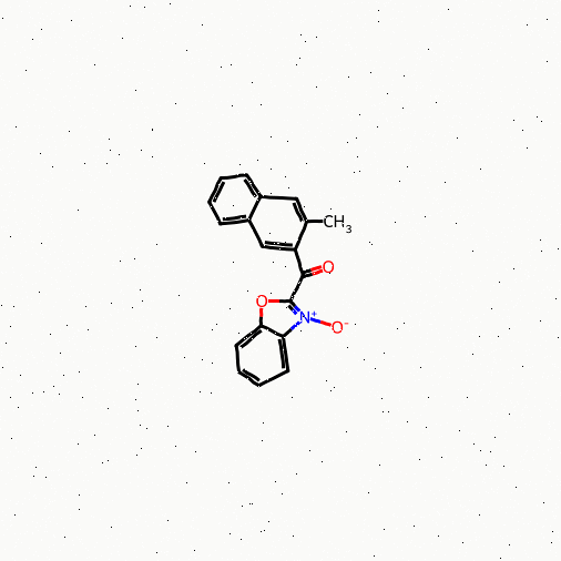 Cc1cc2ccccc2cc1C(=O)c1oc2ccccc2[n+]1[O-]